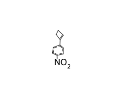 O=[N+]([O-])c1ccc(C2=CCC2)cc1